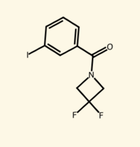 O=C(c1cccc(I)c1)N1CC(F)(F)C1